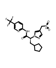 O=C(Nc1ccc(C(F)(F)F)cn1)[C@H](CC1CCCC1)n1cc(C[SH](=O)=O)cn1